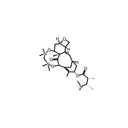 CC1=C2C[C@@H](C[C@@H]1OC(=O)[C@H](C)[C@H](C)N(C)C)C[C@H]1[C@H]3CO[C@H]3CC3O[Si](C)(C)C[Si](C)(C)OC2C(=O)[C@]31C